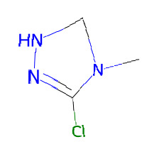 CN1CNN=C1Cl